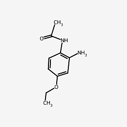 CCOc1ccc(NC(C)=O)c(N)c1